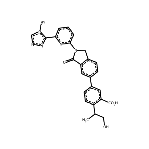 CC(CO)c1ccc(-c2ccc3c(c2)C(=O)N(c2cccc(-c4nncn4C(C)C)n2)C3)cc1C(=O)O